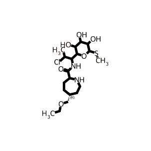 CCOC[C@H]1CCNC(C(=O)NC(C(C)Cl)C2OC(SC)C(O)C(O)C2O)CC1